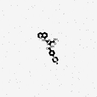 CN1CCN(c2ccc(C(=O)Nc3sc(Nc4cccc5cccnc45)nc3C(N)=O)cc2)CC1